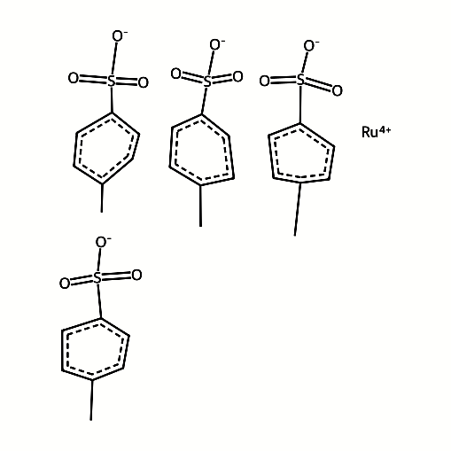 Cc1ccc(S(=O)(=O)[O-])cc1.Cc1ccc(S(=O)(=O)[O-])cc1.Cc1ccc(S(=O)(=O)[O-])cc1.Cc1ccc(S(=O)(=O)[O-])cc1.[Ru+4]